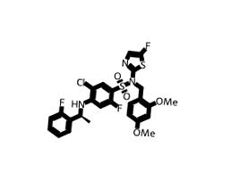 COc1ccc(CN(c2ncc(F)s2)S(=O)(=O)c2cc(Cl)c(N[C@@H](C)c3ccccc3F)cc2F)c(OC)c1